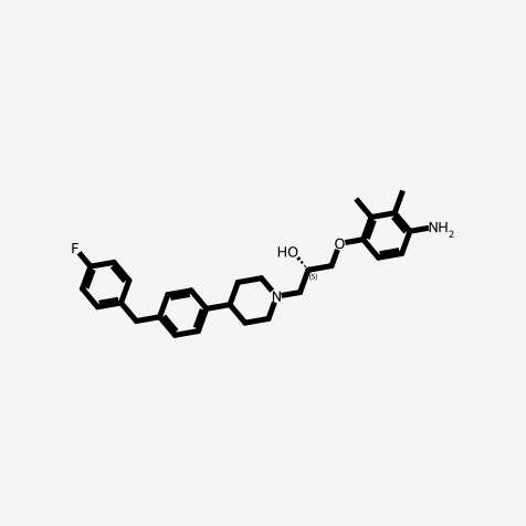 Cc1c(N)ccc(OC[C@@H](O)CN2CCC(c3ccc(Cc4ccc(F)cc4)cc3)CC2)c1C